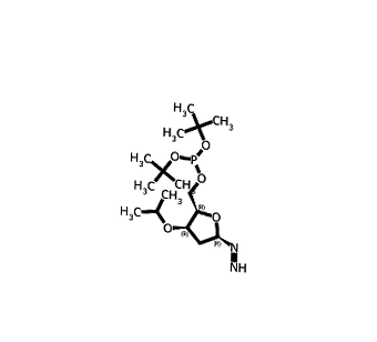 CC(C)O[C@@H]1C[C@H](N=N)O[C@@H]1COP(OC(C)(C)C)OC(C)(C)C